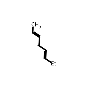 CC=C[CH]C=CCC